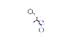 N#C/C(C(=O)OCC1CCCCC1)=C1\C=C(N2CCNCC2)N=CN1